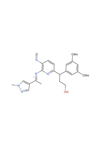 C=Nc1ccc(C(CCO)c2cc(OC)cc(OC)c2)nc1/N=C(\C)c1cnn(C)c1